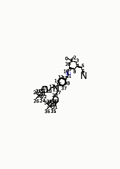 CC1(C)CC(=CC#N)C=C(/C=C/c2ccc(N(CCO[Si](C)(C)C(C)(C)C)CCO[Si](C)(C)C(C)(C)C)cc2)C1